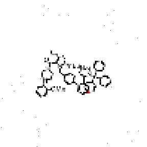 CCCCc1nc(Cl)c(C(=O)N2CCN(c3ccccc3OC)CC2)n1Cc1ccc(-c2ccccc2-c2nnnn2C(c2ccccc2)(c2ccccc2)c2ccccc2)cc1